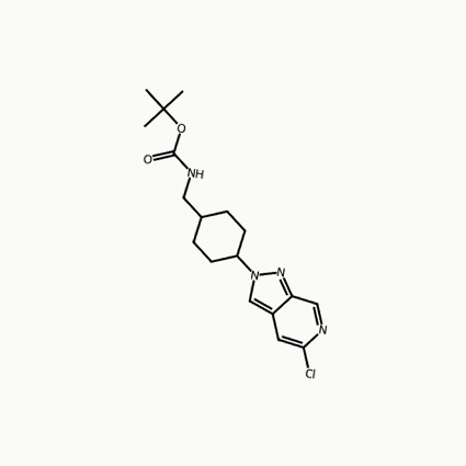 CC(C)(C)OC(=O)NCC1CCC(n2cc3cc(Cl)ncc3n2)CC1